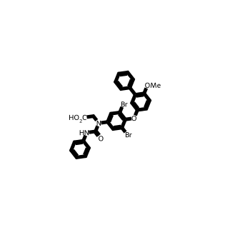 COc1ccc(Oc2c(Br)cc(N(CC(=O)O)C(=O)Nc3ccccc3)cc2Br)cc1-c1ccccc1